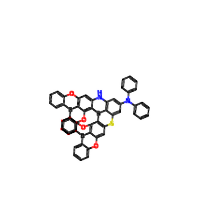 c1ccc(N(c2ccccc2)c2cc3c4c(c2)Sc2cc5c6c(c2B4c2c(cc4c7c2Oc2ccccc2B7c2ccccc2O4)N3)Oc2ccccc2B6c2ccccc2O5)cc1